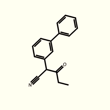 CCC(=O)C(C#N)c1cccc(-c2ccccc2)c1